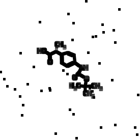 C[C@@H](C(=O)O)c1ccc(NC(=O)OC(C)(C)C)cc1